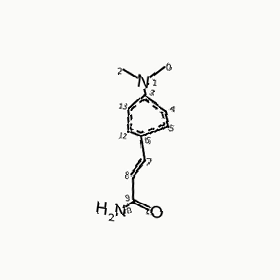 CN(C)c1ccc(/C=C/C(N)=O)cc1